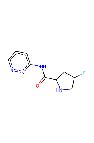 O=C(Nc1cccnn1)C1CC(F)CN1